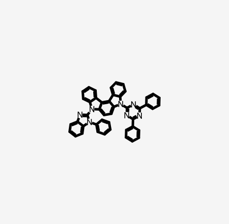 c1ccc(-c2nc(-c3ccccc3)nc(-n3c4ccccc4c4c5c6ccccc6n(-c6nc7ccccc7n6-c6ccccc6)c5ccc43)n2)cc1